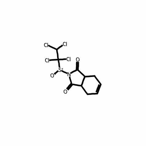 O=C1C2CC=CCC2C(=O)N1[S+]([O-])C(Cl)(Cl)C(Cl)Cl